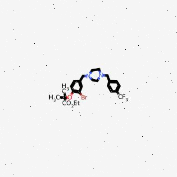 CCOC(=O)C(C)(C)Oc1ccc(CN2CCN(Cc3ccc(C(F)(F)F)cc3)CC2)cc1Br